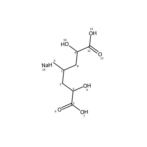 CC(CC(O)C(=O)O)CC(O)C(=O)O.[NaH]